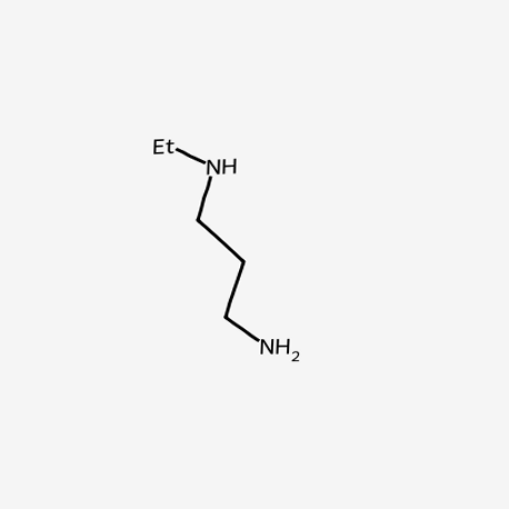 [CH2]CNCCCN